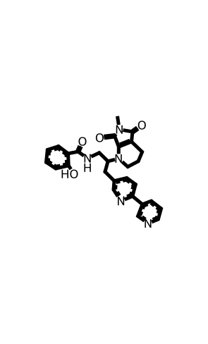 CN1C(=O)C2=C(C1=O)N(C(CNC(=O)c1ccccc1O)Cc1ccc(-c3cccnc3)nc1)CCC2